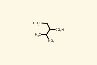 CC(C(CC(=O)O)C(=O)O)[N+](=O)[O-]